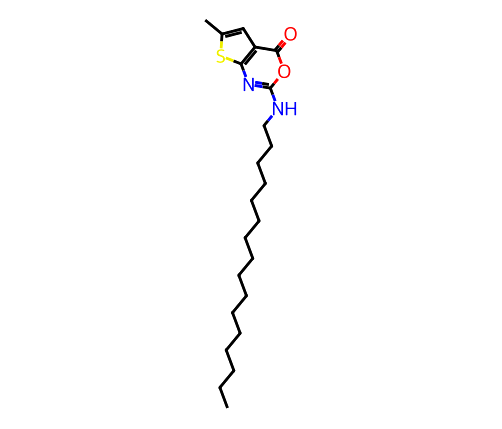 CCCCCCCCCCCCCCCCNc1nc2sc(C)cc2c(=O)o1